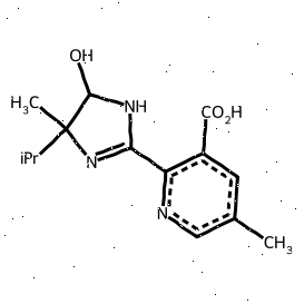 Cc1cnc(C2=NC(C)(C(C)C)C(O)N2)c(C(=O)O)c1